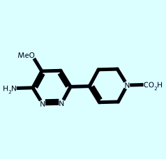 COc1cc(C2=CCN(C(=O)O)CC2)nnc1N